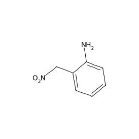 Nc1ccccc1C[N+](=O)[O-]